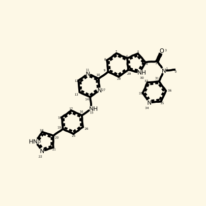 CN(C(=O)c1cc2ccc(-c3nccc(Nc4ccc(-c5cn[nH]c5)cc4)n3)cc2[nH]1)c1ccncc1